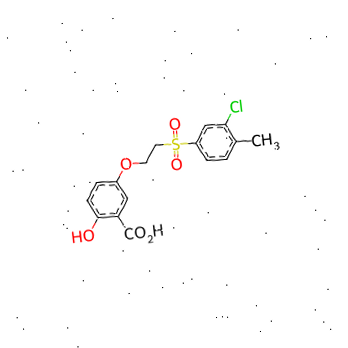 Cc1ccc(S(=O)(=O)CCOc2ccc(O)c(C(=O)O)c2)cc1Cl